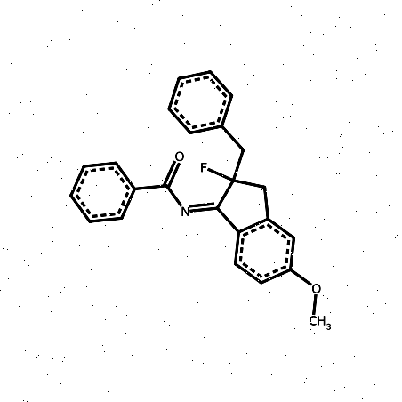 COc1ccc2c(c1)CC(F)(Cc1ccccc1)C2=NC(=O)c1ccccc1